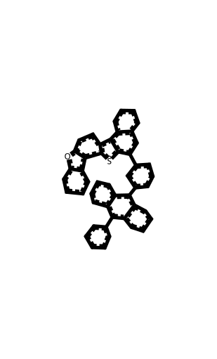 c1ccc(-c2c3ccccc3c(-c3cccc(-c4cc5ccccc5c5c4sc4c5ccc5oc6ccccc6c54)c3)c3ccccc23)cc1